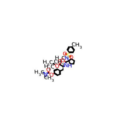 Cc1ccc(S(=O)(=O)N(C)C2(C(=O)N[C@@H](Cc3ccc(OC(=O)N(C)C)cc3)C(=O)OC(C)(C)C)CCCC2)cc1